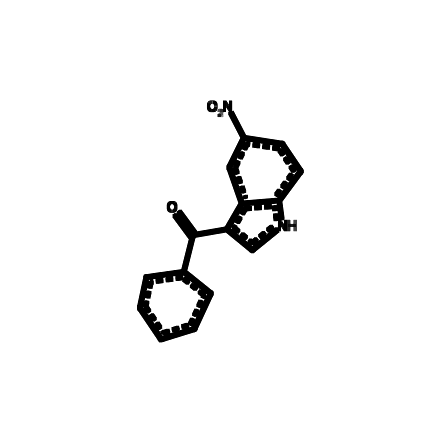 O=C(c1ccccc1)c1c[nH]c2ccc([N+](=O)[O-])cc12